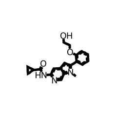 Cn1c(-c2ccccc2OCCO)cc2cc(NC(=O)C3CC3)ncc21